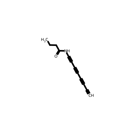 C#CC#CC#CC#CNC(=O)CCC